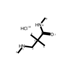 CNCC(C)(C)C(=O)NC.Cl